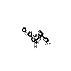 CC(=O)c1ccc(-c2ccnc3[nH]c(-c4n[nH]c5ccc(-c6cncc(OC7CCCCC7)c6)nc45)nc23)s1